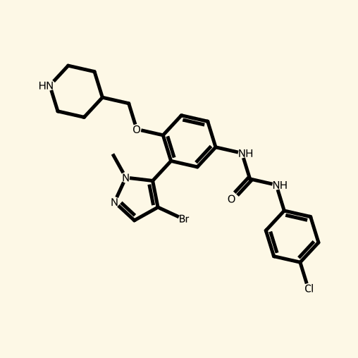 Cn1ncc(Br)c1-c1cc(NC(=O)Nc2ccc(Cl)cc2)ccc1OCC1CCNCC1